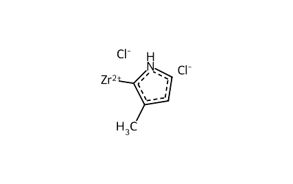 Cc1cc[nH][c]1[Zr+2].[Cl-].[Cl-]